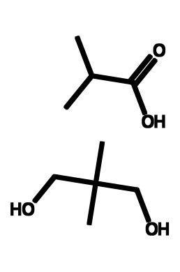 CC(C)(CO)CO.CC(C)C(=O)O